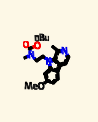 CCCCOC(=O)N(C)CCn1c2cc(OC)ccc2c2ccnc(C)c21